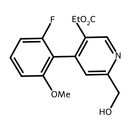 CCOC(=O)c1cnc(CO)cc1-c1c(F)cccc1OC